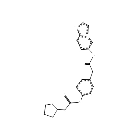 O=C(Cc1ccc(NC(=O)CC2CCCC2)cc1)Nc1ccc2nccn2c1